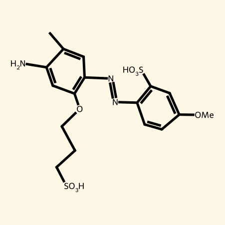 COc1ccc(N=Nc2cc(C)c(N)cc2OCCCS(=O)(=O)O)c(S(=O)(=O)O)c1